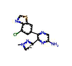 Cn1ccc(-c2nc(N)cnc2-c2cc(Cl)c3ncsc3c2)n1